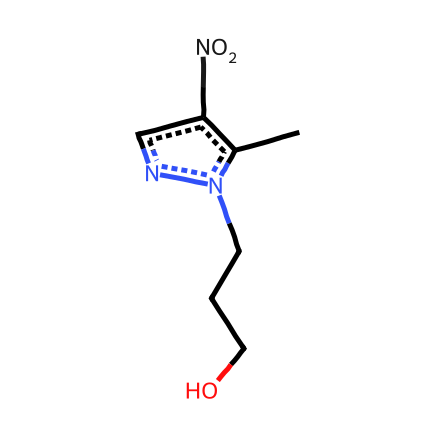 Cc1c([N+](=O)[O-])cnn1CCCO